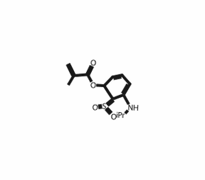 C=C(C)C(=O)OC1C=CC=C(NC(C)C)C1=S(=O)=O